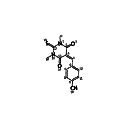 CN1C(=O)C(=Cc2ccc(C#N)cc2)C(=O)N(C)C1=S